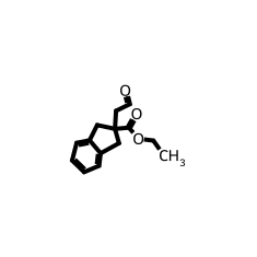 CCOC(=O)C1(CC=O)Cc2ccccc2C1